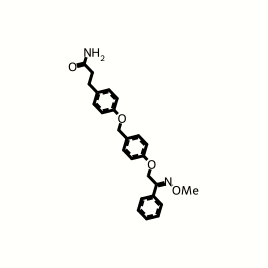 CON=C(COc1ccc(COc2ccc(CCC(N)=O)cc2)cc1)c1ccccc1